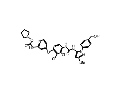 CC(C)(C)c1cc(NC(=O)Nc2ccc(Oc3ccnc(NC(=O)ON4CCCC4)c3)c(Cl)c2Cl)n(-c2ccc(CO)cc2)n1